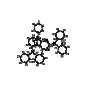 c1ccc(-n2ccc3c(-c4cccc5c6ccccc6n(-c6ccccc6)c45)nc(-n4c5ccccc5c5ccccc54)nc32)cc1